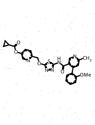 COc1ccccc1-c1cc(C)ncc1C(=O)Nc1nnc(OCc2ccc(OC(=O)C3CC3)cn2)s1